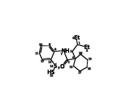 CCC(CC)CC1(C(=O)Nc2ccccc2SS)CCCCC1